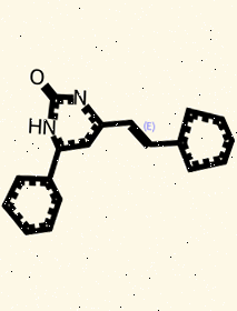 O=c1nc(/C=C/c2ccccc2)cc(-c2ccccc2)[nH]1